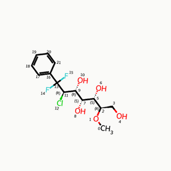 CO[C@H](CO)[C@@H](O)[C@H](O)[C@@H](O)[C@@H](Cl)C(F)(F)c1ccccc1